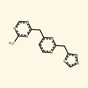 Cc1ncnc(Cc2ccnc(Cc3nncs3)n2)n1